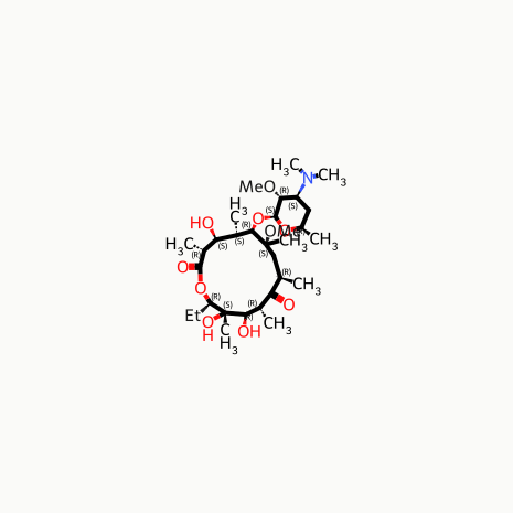 CC[C@H]1OC(=O)[C@H](C)[C@@H](O)[C@H](C)[C@@H](O[C@@H]2O[C@H](C)C[C@H](N(C)C)[C@H]2OC)[C@@](C)(OC)C[C@@H](C)C(=O)[C@H](C)[C@@H](O)[C@]1(C)O